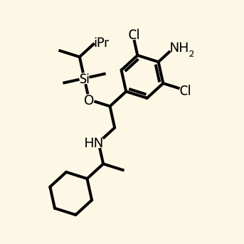 CC(C)C(C)[Si](C)(C)OC(CNC(C)C1CCCCC1)c1cc(Cl)c(N)c(Cl)c1